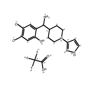 NC(c1cc(Cl)c(Cl)cc1O)C1CCN(c2cc[nH]n2)CC1.O=C(O)C(F)(F)F